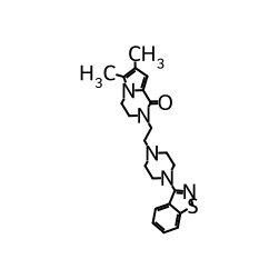 Cc1cc2n(c1C)CCN(CCN1CCN(c3nsc4ccccc34)CC1)C2=O